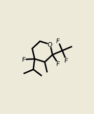 CC(C)C1(F)CCOC(F)(C(C)(F)F)C1C